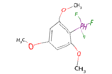 COc1cc(OC)c([PH](F)(F)F)c(OC)c1